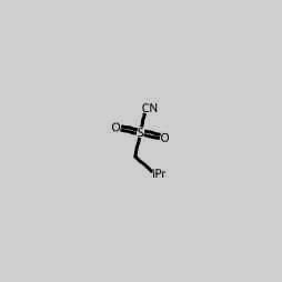 CC(C)CS(=O)(=O)C#N